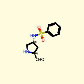 O=C[C@@H]1C[C@@H](NS(=O)(=O)c2ccccc2)CN1